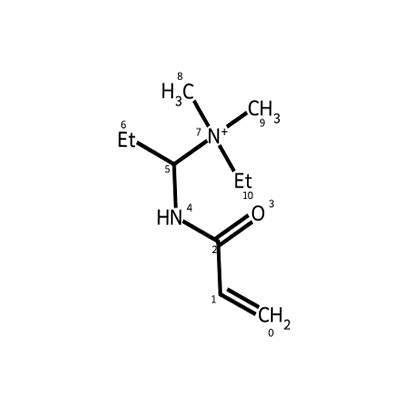 C=CC(=O)NC(CC)[N+](C)(C)CC